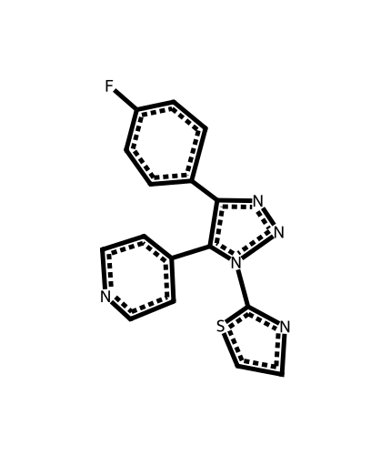 Fc1ccc(-c2nnn(-c3nccs3)c2-c2ccncc2)cc1